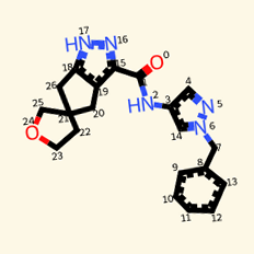 O=C(Nc1cnn(Cc2ccccc2)c1)c1n[nH]c2c1CC1(CCOC1)C2